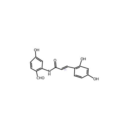 O=Cc1ccc(O)cc1NC(=O)/C=C/c1ccc(O)cc1O